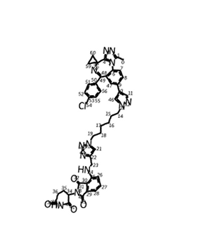 Cc1nnc2n1-c1ccc(-c3cnn(CCCCCCn4cc(CNc5cccc6c5C(=O)N(C5CCC(=O)NC5=O)C6=O)nn4)c3)cc1C(c1ccc(Cl)cc1)=NC21CC1